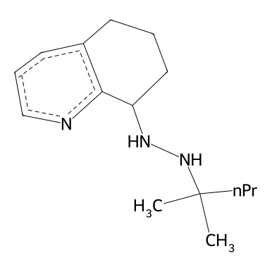 CCCC(C)(C)NNC1CCCc2cccnc21